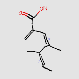 C=C(/C=C(C)\C(C)=C/C)C(=O)O